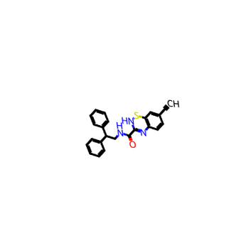 C#Cc1ccc2c(c1)SNC(C(=O)NCC(c1ccccc1)c1ccccc1)=N2